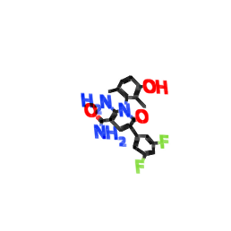 Cc1ccc(O)c(C)c1-n1c(N)c(C(N)=O)cc(-c2cc(F)cc(F)c2)c1=O